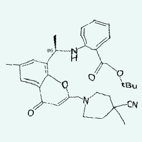 Cc1cc([C@@H](C)Nc2ccccc2C(=O)OC(C)(C)C)c2oc(N3CCC(C)(C#N)CC3)cc(=O)c2c1